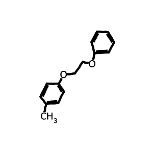 Cc1ccc(OCCOc2ccccc2)cc1